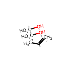 C=CC.O=C(O)O.O=C(O)O